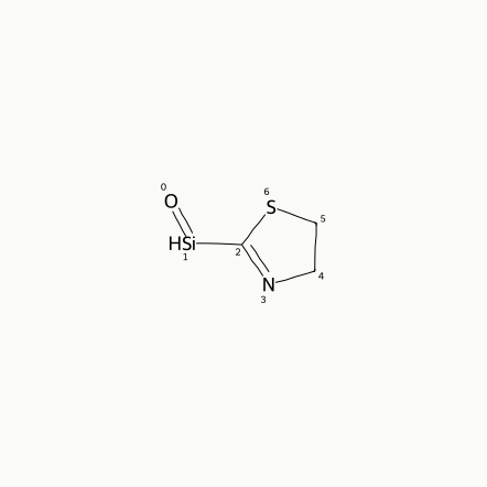 O=[SiH]C1=NCCS1